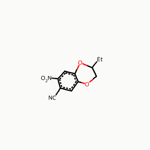 CCC1COc2cc(C#N)c([N+](=O)[O-])cc2O1